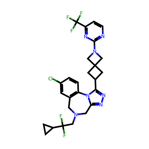 FC(F)(F)c1ccnc(N2CC3(CC(c4nnc5n4-c4ccc(Cl)cc4CN(CC(F)(F)C4CC4)C5)C3)C2)n1